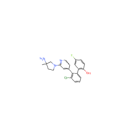 CC1(N)CCN(c2cc(-c3c(Cl)cccc3-c3cc(F)ccc3O)ccn2)C1